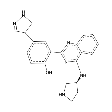 Oc1ccc(C2C=NNC2)cc1-c1nc(N[C@H]2CCNC2)c2ccccc2n1